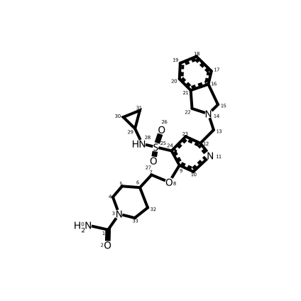 NC(=O)N1CCC(COc2cnc(CN3Cc4ccccc4C3)cc2S(=O)(=O)NC2CC2)CC1